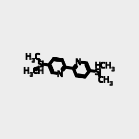 C[SiH](C)c1ccc(-c2ccc([SiH](C)C)cn2)nc1